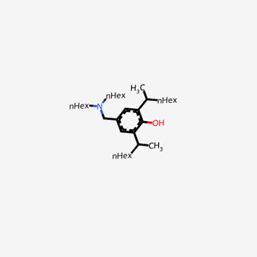 CCCCCCC(C)c1cc(CN(CCCCCC)CCCCCC)cc(C(C)CCCCCC)c1O